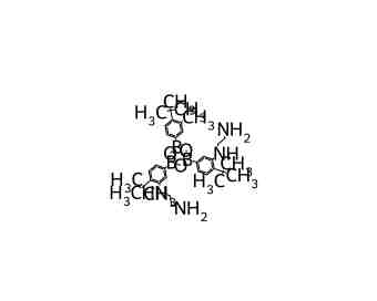 Cc1cc(B2OB(c3ccc(C(C)(C)C)c(NCCN)c3)OB(c3ccc(C(C)(C)C)c(NCCN)c3)O2)ccc1C(C)(C)C